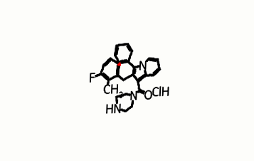 Cc1c(F)cccc1Cc1c(C(=O)N2CCNCC2)c2ccccn2c1-c1ccccc1.Cl